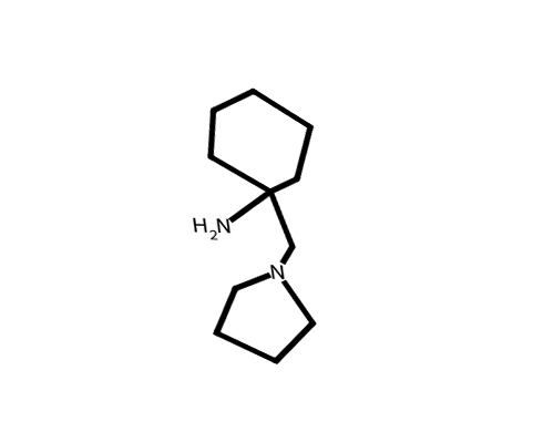 NC1(CN2CCCC2)CCCCC1